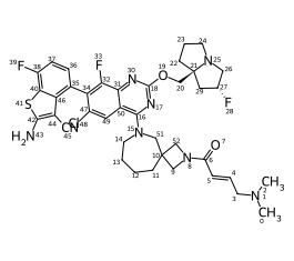 CN(C)C/C=C/C(=O)N1CC2(CCCCN(c3nc(OC[C@@]45CCCN4C[C@H](F)C5)nc4c(F)c(-c5ccc(F)c6sc(N)c(C#N)c56)c(Cl)cc34)C2)C1